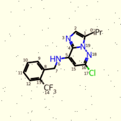 CC(C)c1cnc2c(NCc3ccccc3C(F)(F)F)cc(Cl)nn12